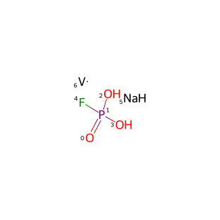 O=P(O)(O)F.[NaH].[V]